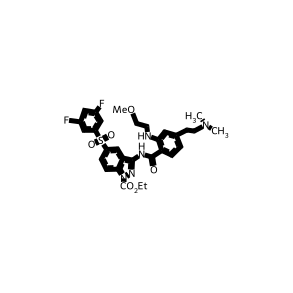 CCOC(=O)n1nc(NC(=O)c2ccc(CCN(C)C)cc2NCCOC)c2cc(S(=O)(=O)c3cc(F)cc(F)c3)ccc21